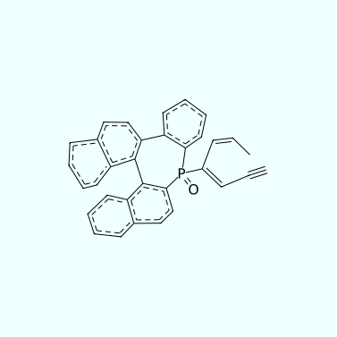 C#C/C=C(\C=C/C)P1(=O)c2ccccc2-c2ccc3ccccc3c2-c2c1ccc1ccccc21